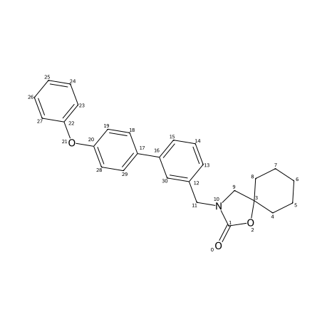 O=C1OC2(CCCCC2)CN1Cc1cccc(-c2ccc(Oc3ccccc3)cc2)c1